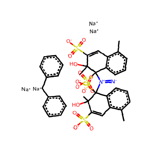 Cc1cccc2c1C=C(S(=O)(=O)[O-])C(C)(O)C2([N+](=[N-])C1(S(=O)(=O)[O-])c2cccc(C)c2C=C(S(=O)(=O)[O-])C1(C)O)S(=O)(=O)[O-].[Na+].[Na+].[Na+].[Na+].c1ccc(Cc2ccccc2)cc1